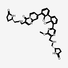 COc1nc(-c2cccc(-c3cccc(-c4ccn5c(=O)c(CNC[C@H]6CCC(=O)N6)cnc5c4)c3Cl)c2Cl)cnc1CNC[C@@H]1CCC(=O)N1